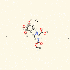 COC(=O)C1CN(C(=O)OC(C)(C)C)CCN1Cc1cc(OC)c(OC)c(OC)c1